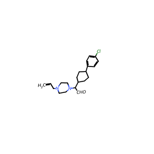 C=CCN1CCN(C(C=O)C2CCC(c3ccc(Cl)cc3)CC2)CC1